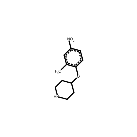 O=[N+]([O-])c1ccc(OC2CCNCC2)c(C(F)(F)F)c1